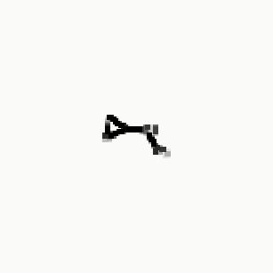 CBC1CO1